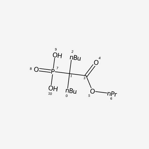 CCCCC(CCCC)(C(=O)OCCC)P(=O)(O)O